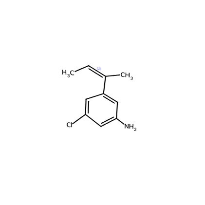 C/C=C(/C)c1cc(N)cc(Cl)c1